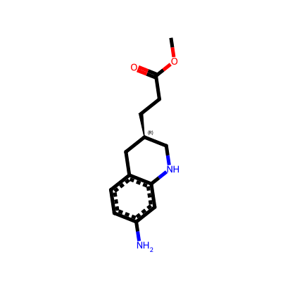 COC(=O)CC[C@H]1CNc2cc(N)ccc2C1